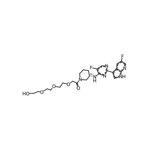 O=C(COCCOCCOCCO)N1CCC[C@H](Nc2nc(-c3c[nH]c4ncc(F)cc34)ncc2F)C1